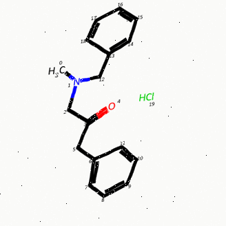 CN(CC(=O)Cc1ccccc1)Cc1ccccc1.Cl